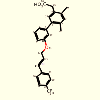 Cc1cc(C)c(-c2cccc(OC/C=C/c3ccc(C(F)(F)F)cc3)c2)cc1CC(=O)O